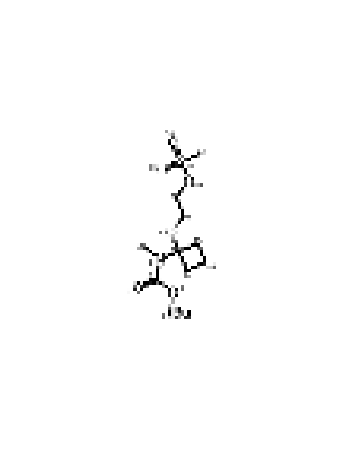 CN(C(=O)OC(C)(C)C)C1(OCCOS(C)(=O)=O)CCC1